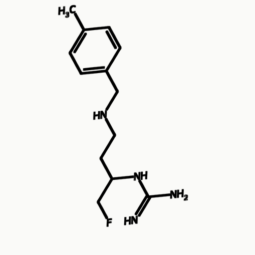 Cc1ccc(CNCCC(CF)NC(=N)N)cc1